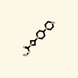 CC(C)(C)OC(=O)N1CC(N2CCC(N3CCNCC3)CC2)C1